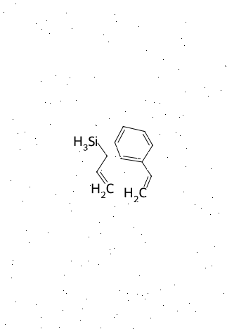 C=CC[SiH3].C=Cc1ccccc1